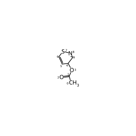 CC(=O)OC1C=CSN=C1